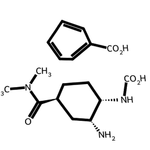 CN(C)C(=O)[C@H]1CC[C@H](NC(=O)O)[C@H](N)C1.O=C(O)c1ccccc1